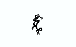 COC1CCC(C(=O)O)C(F)C1